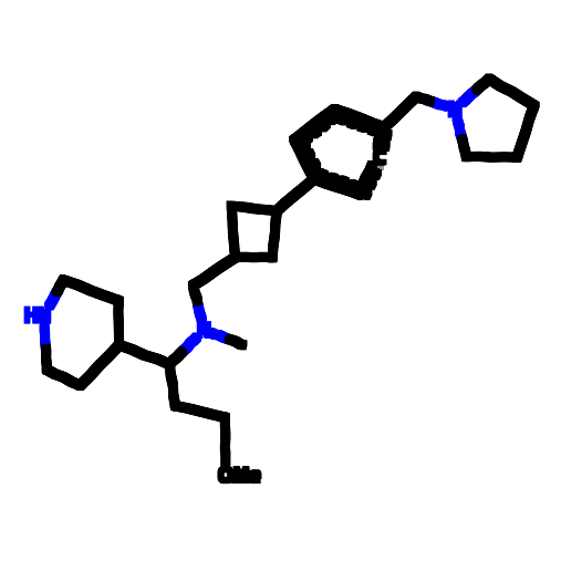 COCCC(C1CCNCC1)N(C)CC1CC(c2ccc(CN3CCCC3)cc2)C1